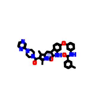 Cc1cccc(C(=O)Nc2cccc(Oc3ccc4c(c3)NC(=O)/C4=C\c3[nH]c(C)c(C(=O)N4CCN(c5cnccn5)CC4)c3C)c2)c1